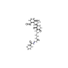 CN(C/C=C/C(=O)N1CCCCC1)CCCCCN1C(=O)CCC(N(C)Cc2c(N)cccc2C=O)C1=O